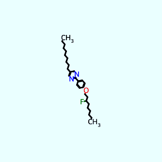 CCCCCCCCCCc1cnc(-c2ccc(OCCC(F)CCCCCC)cc2)nc1